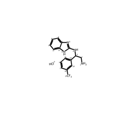 Cl.NCC(Nc1nc2ccccc2[nH]1)c1cccc(C(F)(F)F)c1